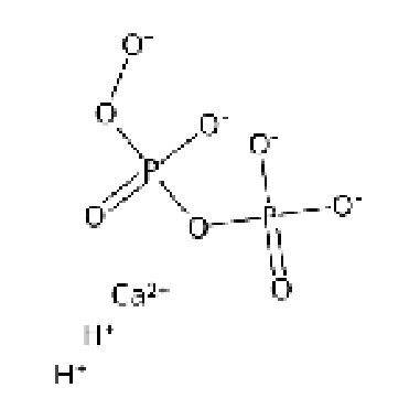 O=P([O-])([O-])OP(=O)([O-])O[O-].[Ca+2].[H+].[H+]